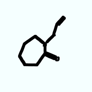 C=C[CH]N1CCCCCC1=O